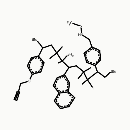 BC(C)(C(CC(C)(C)C(C)(I)C(CC(C)(C)C)c1ccc(CNSC(F)(F)F)cc1)c1ccc2ccccc2c1)C(C)(C)CC(c1ccc(OCC#C)cc1)C(C)(C)C